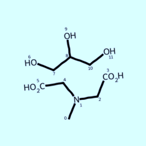 CN(CC(=O)O)CC(=O)O.OCC(O)CO